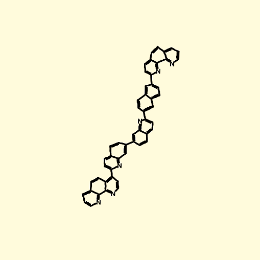 c1cnc2c(c1)ccc1ccc(-c3ccc4cc(-c5ccc6ccc(-c7ccc8ccc(-c9ccnc%10c9ccc9cccnc9%10)nc8c7)cc6n5)ccc4c3)nc12